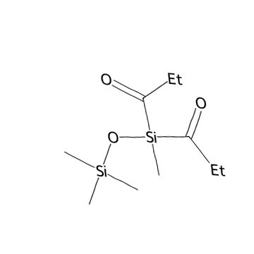 CCC(=O)[Si](C)(O[Si](C)(C)C)C(=O)CC